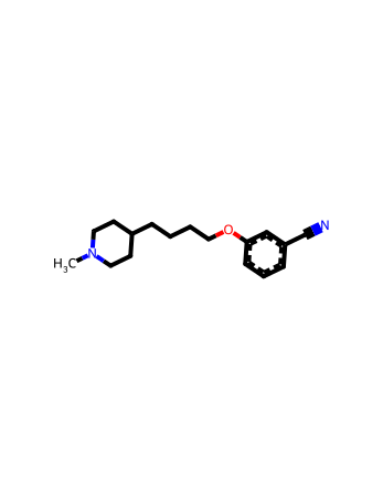 CN1CCC(CCCCOc2cccc(C#N)c2)CC1